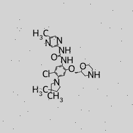 Cc1cnc(NC(=O)Nc2cc(Cl)c(N3CCC(C)(C)C3)cc2OC[C@@H]2CNCCO2)cn1